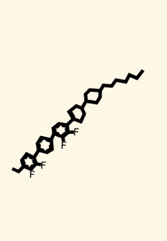 CCCCCCCC1CCC(C2CC=C(c3ccc(-c4ccc(-c5ccc(CC)c(F)c5F)cc4)c(F)c3F)CC2)CC1